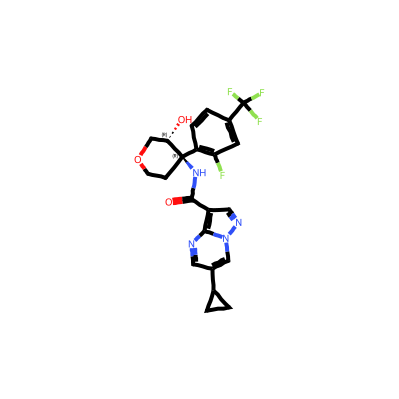 O=C(N[C@@]1(c2ccc(C(F)(F)F)cc2F)CCOC[C@@H]1O)c1cnn2cc(C3CC3)cnc12